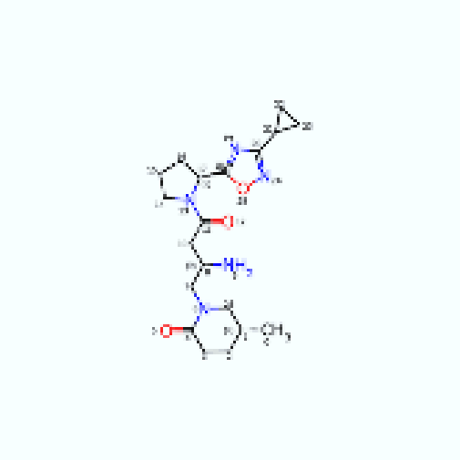 C[C@@H]1CCC(=O)N(C[C@H](N)CC(=O)N2CCC[C@H]2c2nc(C3CC3)no2)C1